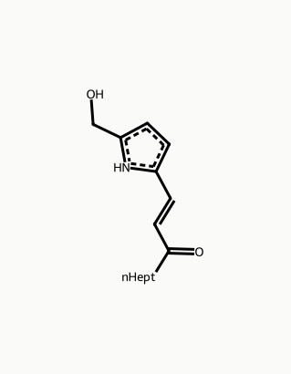 CCCCCCCC(=O)C=Cc1ccc(CO)[nH]1